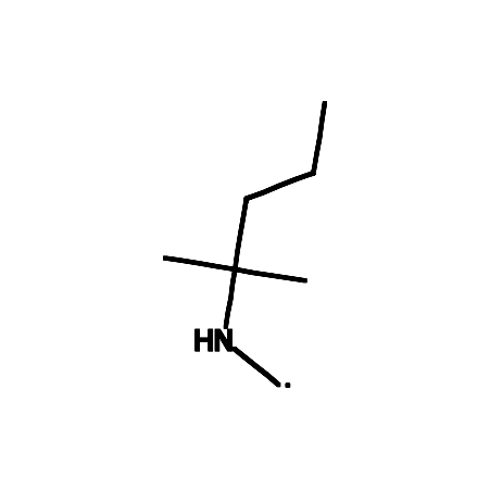 [CH2]NC(C)(C)CCC